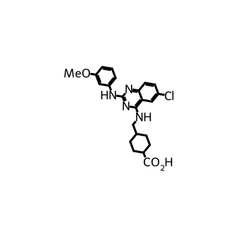 COc1cccc(Nc2nc(NCC3CCC(C(=O)O)CC3)c3cc(Cl)ccc3n2)c1